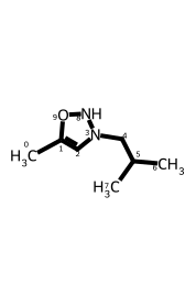 CC1=CN(CC(C)C)NO1